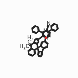 CC1(C)c2ccccc2C2(c3ccccc3-c3ccc(-c4ccc(C#N)cc4)cc32)c2cc(-c3nnc(-c4ccccc4)nc3-c3ccccc3)ccc21